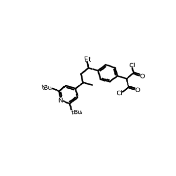 CCC(CC(C)c1cc(C(C)(C)C)nc(C(C)(C)C)c1)c1ccc(C(C(=O)Cl)C(=O)Cl)cc1